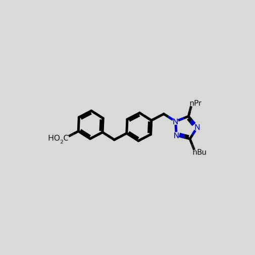 CCCCc1nc(CCC)n(Cc2ccc(Cc3cccc(C(=O)O)c3)cc2)n1